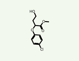 COC(=O)C(CCO)Oc1ccc(Cl)cc1